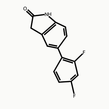 O=C1Cc2cc(-c3ccc(F)cc3F)ccc2N1